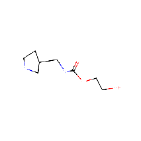 O=C(NCC1CCNC1)OCCO